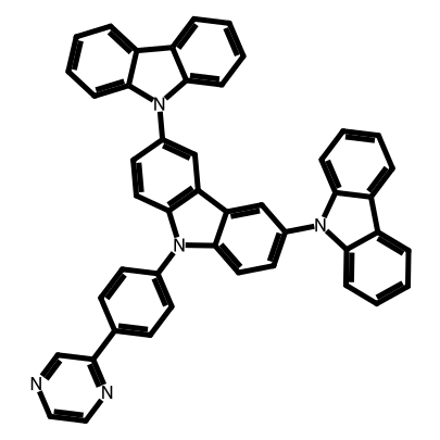 c1ccc2c(c1)c1ccccc1n2-c1ccc2c(c1)c1cc(-n3c4ccccc4c4ccccc43)ccc1n2-c1ccc(-c2cnccn2)cc1